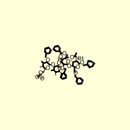 CC[C@@H]1O[C@H](O[C@@H]2C(OCc3ccccc3)[C@H](O[C@@H]3C(COCc4ccccc4)O[C@@H](OCc4ccccc4)C(NC(C)=O)[C@H]3C)OC3(C)COC(c4ccccc4)O[C@@H]23)C(O[C@H]2O[C@@H](COP(=O)=O)[C@@H](C)C(C)C2OCc2ccccc2)C(C)[C@@H]1C